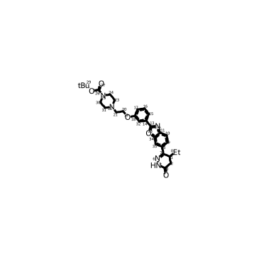 CCC1CC(=O)NN=C1c1ccc2nc(-c3cccc(OCCN4CCN(C(=O)OC(C)(C)C)CC4)c3)oc2c1